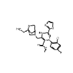 COC(=O)C1=C(CN2CC3(CO)CC2CO3)NC(c2nccs2)=N[C@H]1c1ccc(F)cc1Cl